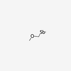 CO[CH2][Sb]